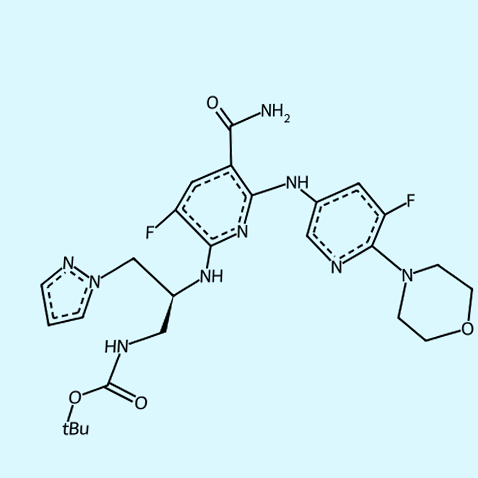 CC(C)(C)OC(=O)NC[C@@H](Cn1cccn1)Nc1nc(Nc2cnc(N3CCOCC3)c(F)c2)c(C(N)=O)cc1F